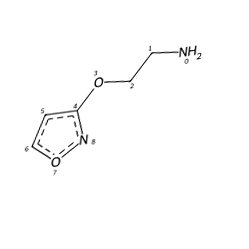 NCCOc1ccon1